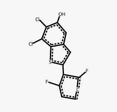 Oc1cc2cc(-c3c(F)cccc3F)sc2c(Cl)c1Cl